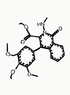 CNn1c(C(=O)OC)c(-c2cc(OC)c(OC)c(OC)c2)c2ccccc2c1=O